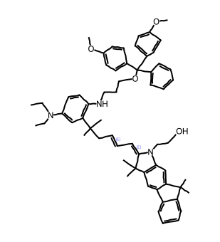 CCN(CC)c1ccc(NCCCOC(c2ccccc2)(c2ccc(OC)cc2)c2ccc(OC)cc2)c(C(C)(C)C/C=C/C=C2/N(CCO)c3cc4c(cc3C2(C)C)-c2ccccc2C4(C)C)c1